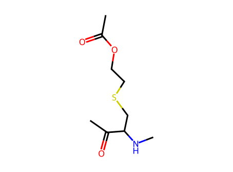 CNC(CSCCOC(C)=O)C(C)=O